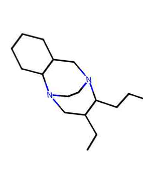 CCCC1C(CC)CN2CCN1CC1CCCCC12